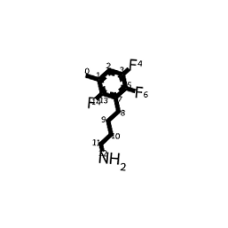 Cc1cc(F)c(F)c(CCCCN)c1F